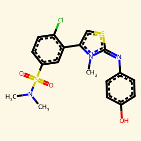 CN(C)S(=O)(=O)c1ccc(Cl)c(-c2cs/c(=N/c3ccc(O)cc3)n2C)c1